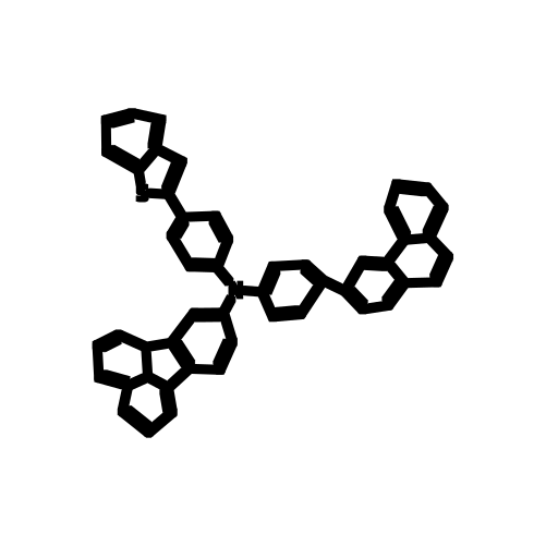 C1=CC2=CC=CC3c4cc(N(c5ccc(-c6ccc7ccc8ccccc8c7c6)cc5)c5ccc(-c6cc7ccccc7s6)cc5)ccc4C(=C1)C23